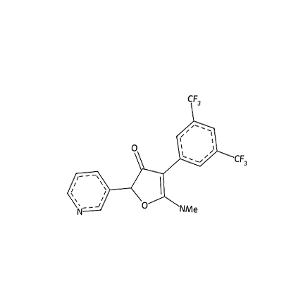 CNC1=C(c2cc(C(F)(F)F)cc(C(F)(F)F)c2)C(=O)C(c2cccnc2)O1